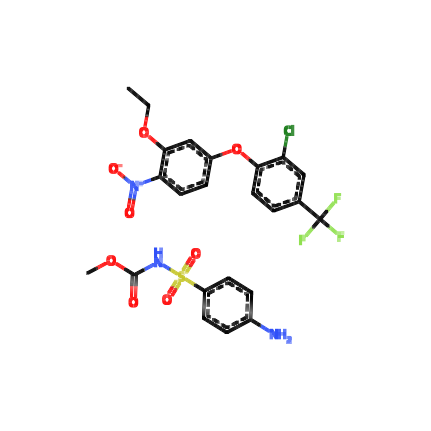 CCOc1cc(Oc2ccc(C(F)(F)F)cc2Cl)ccc1[N+](=O)[O-].COC(=O)NS(=O)(=O)c1ccc(N)cc1